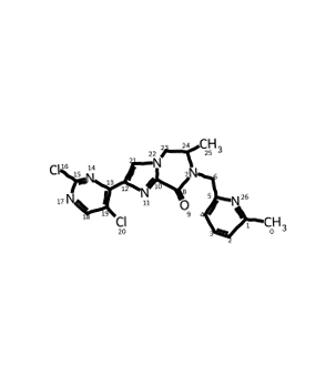 Cc1cccc(CN2C(=O)c3nc(-c4nc(Cl)ncc4Cl)cn3CC2C)n1